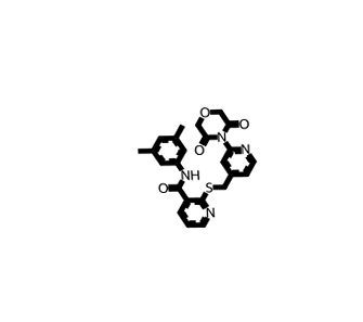 Cc1cc(C)cc(NC(=O)c2cccnc2SCc2ccnc(N3C(=O)COCC3=O)c2)c1